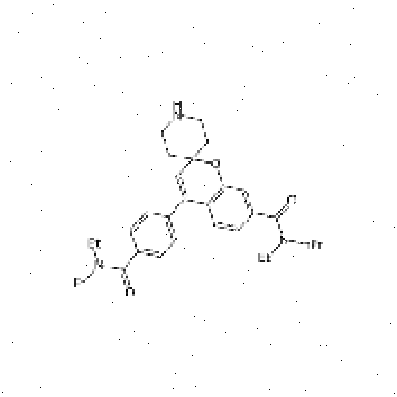 CCCN(CC)C(=O)c1ccc2c(c1)OC1(C=C2c2ccc(C(=O)N(CC)CC)cc2)CCNCC1